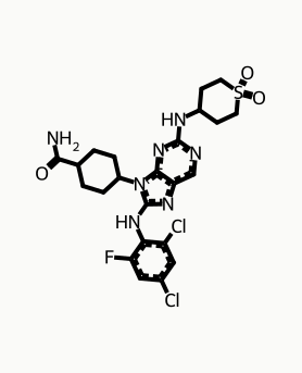 NC(=O)C1CCC(n2c(Nc3c(F)cc(Cl)cc3Cl)nc3cnc(NC4CCS(=O)(=O)CC4)nc32)CC1